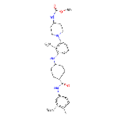 COc1cc(NC(=O)C2CCC(Nc3cccc(N4CCC(NC(=O)OC(C)(C)C)CC4)c3[N+](=O)[O-])CC2)ccc1C